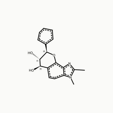 Cc1nc2c3c(ccc2n1C)[C@@H](O)[C@H](O)[C@@H](c1ccccc1)O3